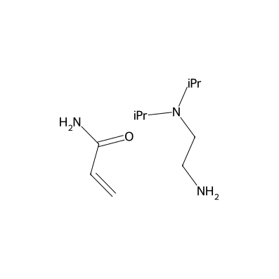 C=CC(N)=O.CC(C)N(CCN)C(C)C